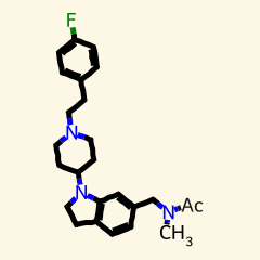 CC(=O)N(C)Cc1ccc2c(c1)N(C1CCN(CCc3ccc(F)cc3)CC1)CC2